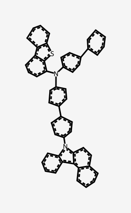 c1ccc(-c2ccc(N(c3ccc(-c4ccc(-n5c6ccccc6c6c7ccccc7ccc65)cc4)cc3)c3cccc4c3sc3ccccc34)cc2)cc1